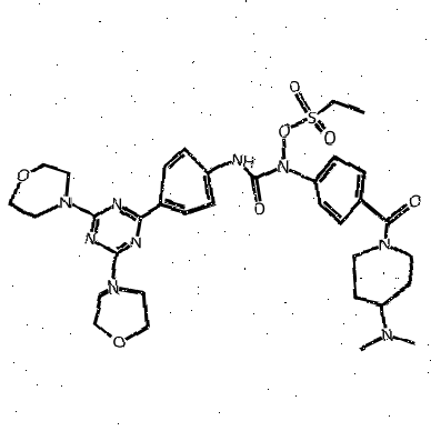 CCS(=O)(=O)ON(C(=O)Nc1ccc(-c2nc(N3CCOCC3)nc(N3CCOCC3)n2)cc1)c1ccc(C(=O)N2CCC(N(C)C)CC2)cc1